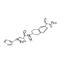 O=C(NO)c1ccc2c(c1)CCC(NC(=O)c1cnn(-c3ccccc3)c1)C2